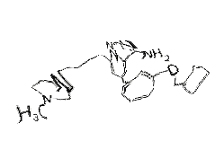 CN1CCN(CCCc2cc(-c3cccc(OCc4ccccc4)c3)c3c(N)ncnn23)CC1